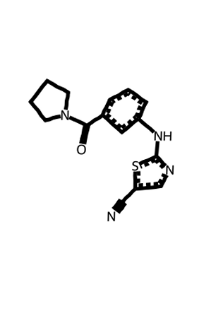 N#Cc1cnc(Nc2cccc(C(=O)N3CCCC3)c2)s1